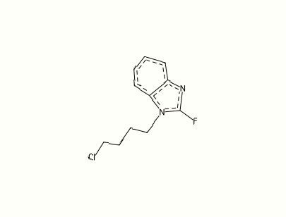 Fc1nc2ccccc2n1CCCCCl